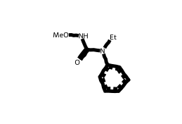 CCN(C(=O)NOC)c1ccccc1